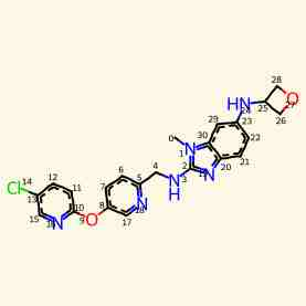 Cn1c(NCc2ccc(Oc3ccc(Cl)cn3)cn2)nc2ccc(NC3COC3)cc21